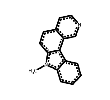 Cn1c2ccccc2c2c3cnccc3ccc21